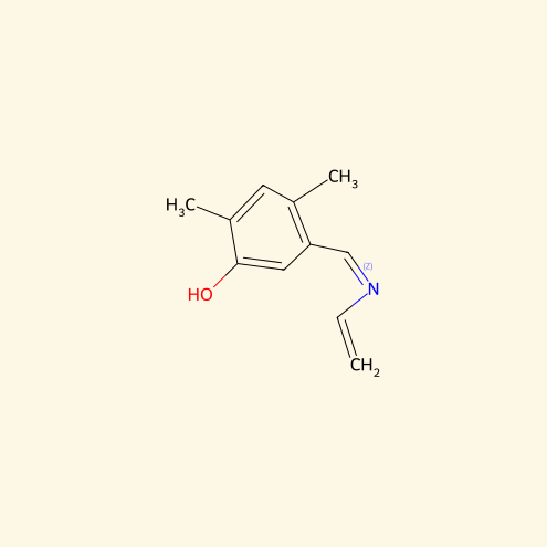 C=C/N=C\c1cc(O)c(C)cc1C